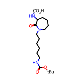 CC(C)(C)OC(=O)NCCCCCCN1CCCCC(NC(=O)O)C1=O